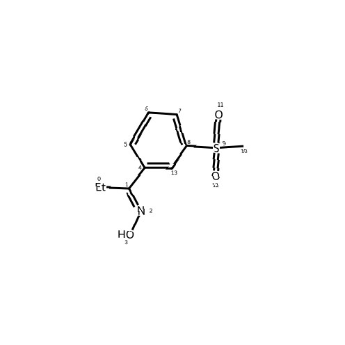 CCC(=NO)c1cccc(S(C)(=O)=O)c1